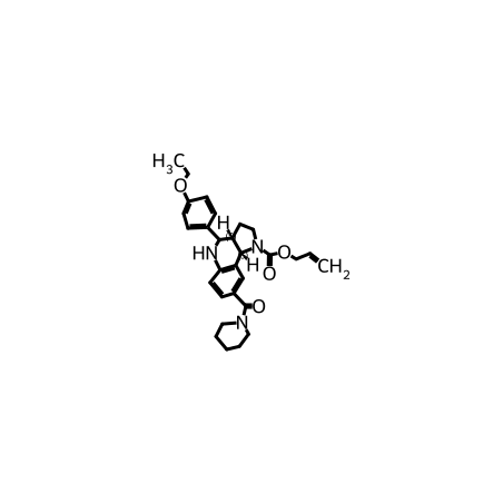 C=CCOC(=O)N1CC[C@H]2C(c3ccc(OCC)cc3)Nc3ccc(C(=O)N4CCCCC4)cc3[C@H]21